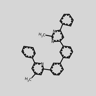 Cc1cc(-c2ccccc2)nc(-c2cccc(-c3cccc(-c4cc(-c5ccccc5)nc(C)n4)c3)c2)c1